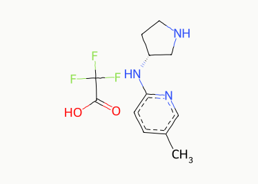 Cc1ccc(N[C@@H]2CCNC2)nc1.O=C(O)C(F)(F)F